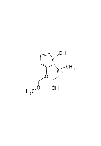 COCOc1cccc(O)c1/C(C)=C\CO